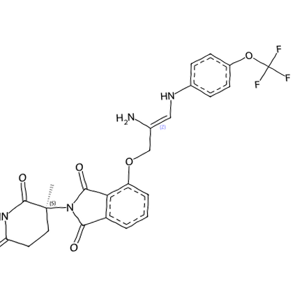 C[C@]1(N2C(=O)c3cccc(OC/C(N)=C/Nc4ccc(OC(F)(F)F)cc4)c3C2=O)CCC(=O)NC1=O